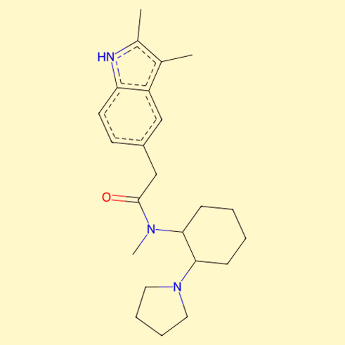 Cc1[nH]c2ccc(CC(=O)N(C)C3CCCCC3N3CCCC3)cc2c1C